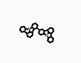 c1ccc2c(c1)c1cccc3c4cc(-c5cccc6c5c5cccc7c8ccccc8n6c75)ccc4n2c13